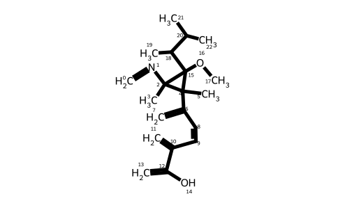 C=NC1(C)C(C)(C(=C)/C=C\C(=C)C(=C)O)C1(OC)C(C)C(C)C